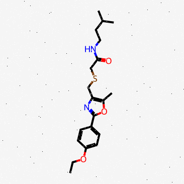 CCOc1ccc(-c2nc(CSCC(=O)NCCC(C)C)c(C)o2)cc1